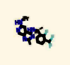 Cc1nc(N[C@H](C)c2cccc(C(F)F)c2F)c2cc(NC(C)C)ncc2n1